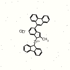 CC1=Cc2c(-c3cc4ccccc4c4ccccc34)cccc2[CH]1[Zr+2][CH]1c2ccccc2-c2ccccc21.[Cl-].[Cl-]